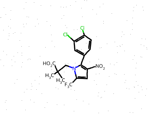 CC(C)(Cn1c(C(F)(F)F)cc([N+](=O)[O-])c1-c1ccc(Cl)c(Cl)c1)C(=O)O